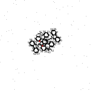 C[Si]1(C)c2ccccc2C2(c3ccccc31)c1cc(-n3c4ccccc4c4ccccc43)sc1C1(c3ccccc3[Si](C)(C)c3ccccc31)c1cc(-n3c4ccccc4c4ccccc43)sc12